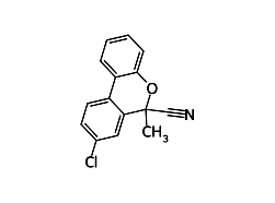 CC1(C#N)Oc2ccccc2-c2ccc(Cl)cc21